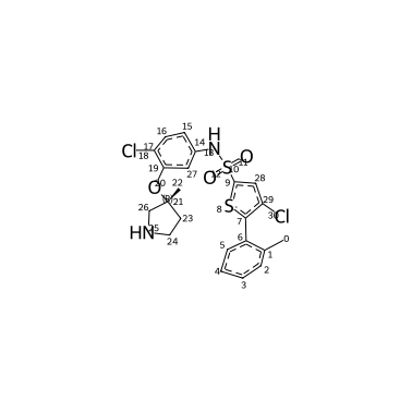 Cc1ccccc1-c1sc(S(=O)(=O)Nc2ccc(Cl)c(O[C@]3(C)CCNC3)c2)cc1Cl